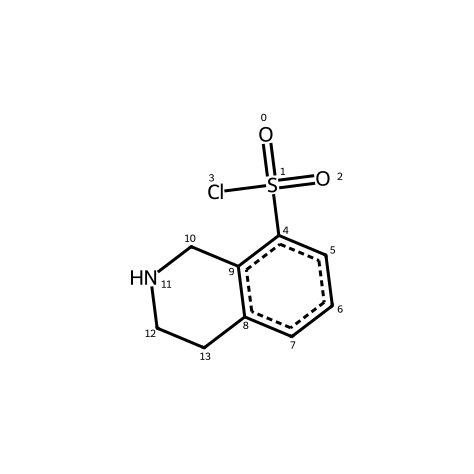 O=S(=O)(Cl)c1cccc2c1CNCC2